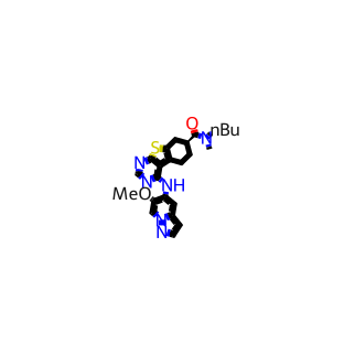 CCCCN(C)C(=O)[C@H]1CCc2c(sc3ncnc(Nc4cc5ccnn5cc4OC)c23)C1